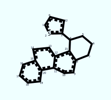 c1csc(C2CCCc3ccc4c(ccc5ccccc54)c32)c1